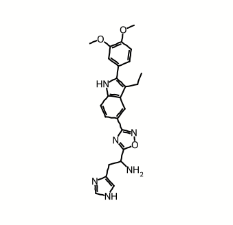 CCc1c(-c2ccc(OC)c(OC)c2)[nH]c2ccc(-c3noc(C(N)Cc4c[nH]cn4)n3)cc12